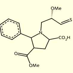 COC(=O)C1CC(C(=O)O)N(C[C@@H](C=S)OC)C1c1ccccc1